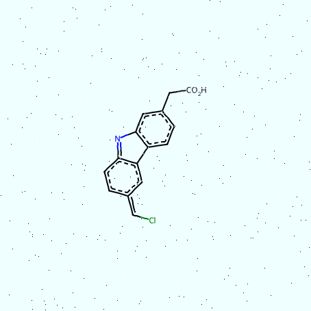 O=C(O)Cc1ccc2c(c1)N=c1cc/c(=C/Cl)cc1-2